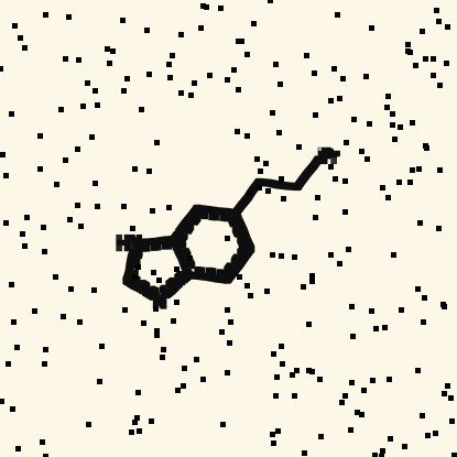 CC(C)CCc1ccc2nc[nH]c2c1